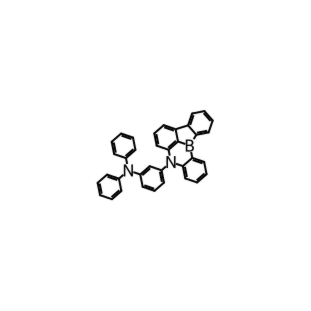 c1ccc(N(c2ccccc2)c2cccc(N3c4ccccc4B4c5ccccc5-c5cccc3c54)c2)cc1